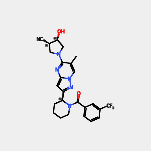 Cc1cn2nc([C@@H]3CCCCN3C(=O)c3cccc(C(F)(F)F)c3)cc2nc1N1C[C@@H](C#N)[C@@H](O)C1